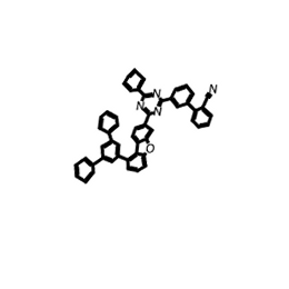 N#Cc1ccccc1-c1cccc(-c2nc(-c3ccccc3)nc(-c3ccc4c(c3)oc3cccc(-c5cc(-c6ccccc6)cc(-c6ccccc6)c5)c34)n2)c1